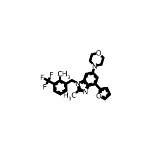 Cc1c(Cn2c(C)nc3c(-c4ccco4)cc(N4CCOCC4)cc32)cccc1C(F)(F)F